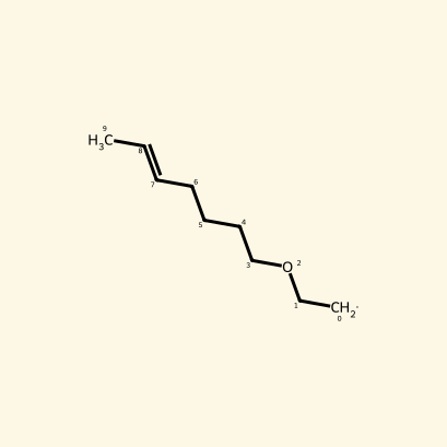 [CH2]COCCCCC=CC